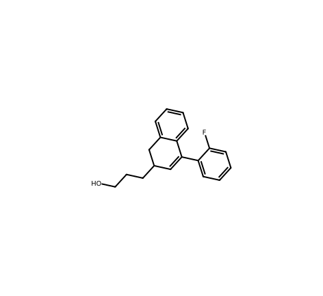 OCCCC1C=C(c2ccccc2F)c2ccccc2C1